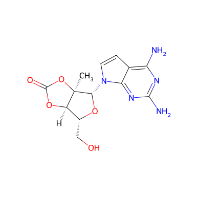 C[C@@]12OC(=O)O[C@@H]1[C@@H](CO)O[C@H]2n1ccc2c(N)nc(N)nc21